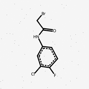 O=C(CBr)Nc1ccc(F)c(Cl)c1